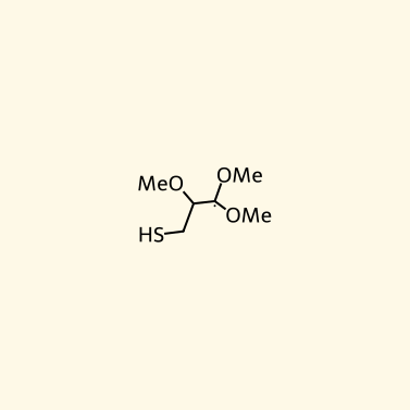 CO[C](OC)C(CS)OC